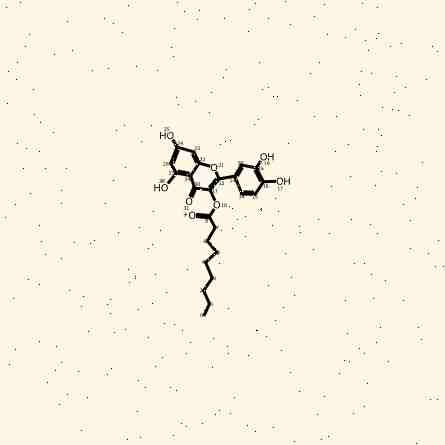 CCCCCCCCC(=O)Oc1c(-c2ccc(O)c(O)c2)oc2cc(O)cc(O)c2c1=O